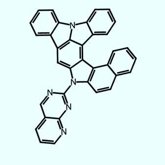 c1cnc2nc(-n3c4ccc5ccccc5c4c4c5c6ccccc6n6c7ccccc7c(cc43)c56)ncc2c1